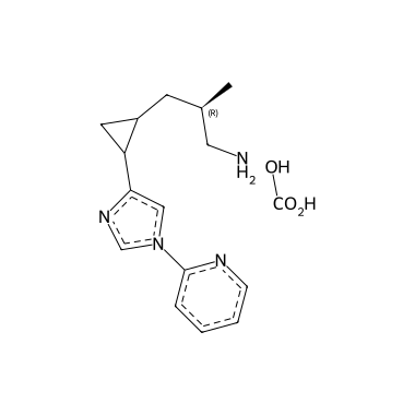 C[C@@H](CN)CC1CC1c1cn(-c2ccccn2)cn1.O=C(O)O